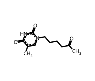 CC(=O)CCCCn1cc(C)c(=O)[nH]c1=O